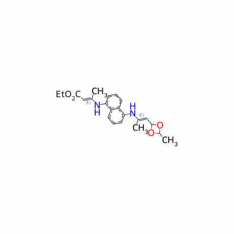 CCOC(=O)/C=C(\C)Nc1cccc2c(N/C(C)=C/C3OC(C)O3)cccc12